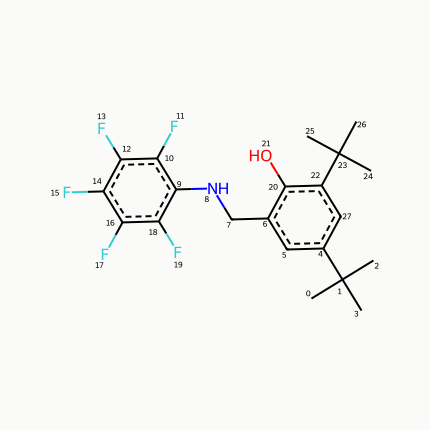 CC(C)(C)c1cc(CNc2c(F)c(F)c(F)c(F)c2F)c(O)c(C(C)(C)C)c1